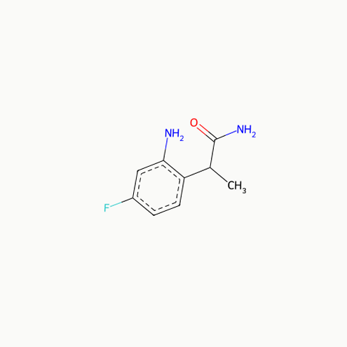 CC(C(N)=O)c1ccc(F)cc1N